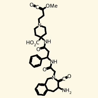 COC(=C=O)CCN1CCC(NC(=O)CC(NC(=O)CN2Cc3ccccc3CC(N)C2=C=O)c2ccccc2)(C(=O)O)CC1